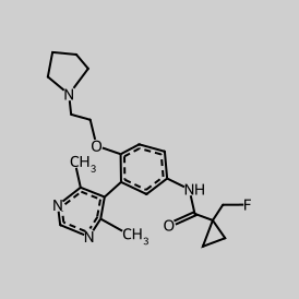 Cc1ncnc(C)c1-c1cc(NC(=O)C2(CF)CC2)ccc1OCCN1CCCC1